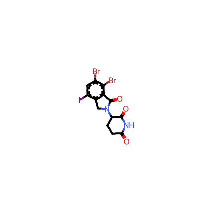 O=C1CCC(N2Cc3c(I)cc(Br)c(Br)c3C2=O)C(=O)N1